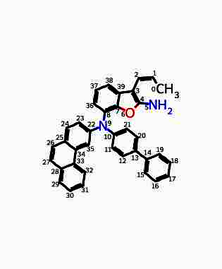 C/C=C\c1c(N)oc2c(N(c3ccc(-c4ccccc4)cc3)c3ccc4ccc5ccccc5c4c3)cccc12